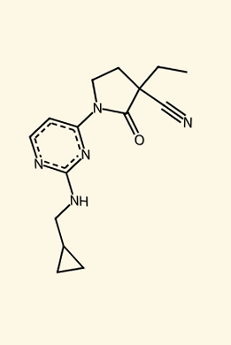 CCC1(C#N)CCN(c2ccnc(NCC3CC3)n2)C1=O